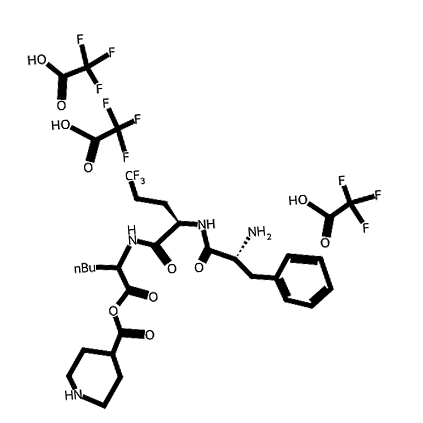 CCCCC(NC(=O)[C@@H](CCC(F)(F)F)NC(=O)[C@H](N)Cc1ccccc1)C(=O)OC(=O)C1CCNCC1.O=C(O)C(F)(F)F.O=C(O)C(F)(F)F.O=C(O)C(F)(F)F